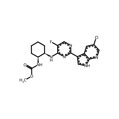 COC(=O)N[C@H]1CCCC[C@H]1Nc1nc(-c2c[nH]c3ncc(Cl)cc23)ncc1F